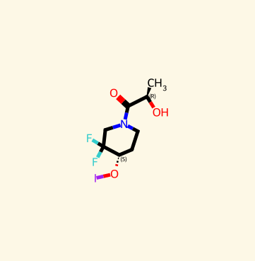 C[C@@H](O)C(=O)N1CC[C@H](OI)C(F)(F)C1